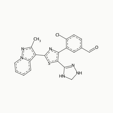 Cc1nn2ccccc2c1-c1nc(-c2cc(C=O)ccc2Cl)c(C2=NNCN2)s1